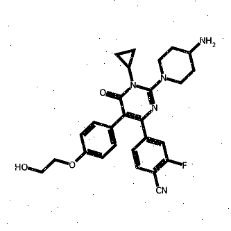 N#Cc1ccc(-c2nc(N3CCC(N)CC3)n(C3CC3)c(=O)c2-c2ccc(OCCO)cc2)cc1F